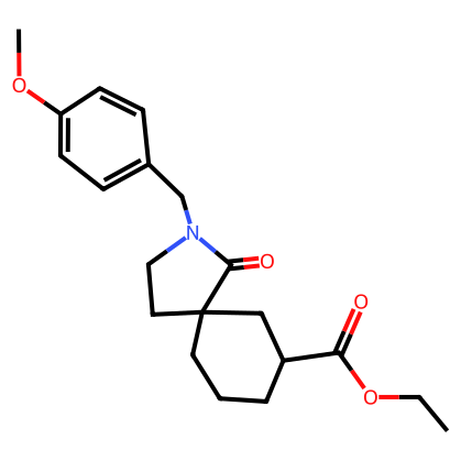 CCOC(=O)C1CCCC2(CCN(Cc3ccc(OC)cc3)C2=O)C1